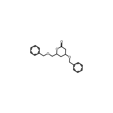 O=C1CC(OCc2ccccc2)CC(COCc2ccccc2)O1